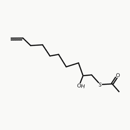 C=CCCCCCCC(O)CSC(C)=O